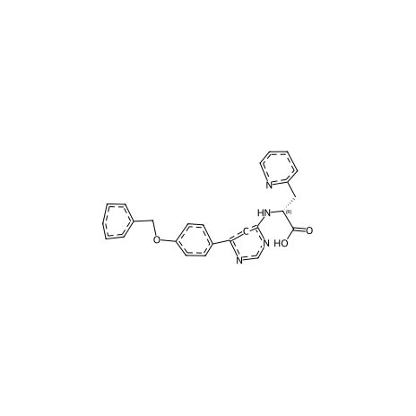 O=C(O)[C@@H](Cc1ccccn1)Nc1cc(-c2ccc(OCc3ccccc3)cc2)ncn1